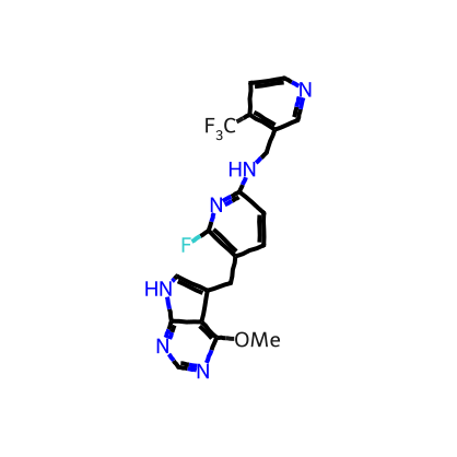 COc1ncnc2[nH]cc(Cc3ccc(NCc4cnccc4C(F)(F)F)nc3F)c12